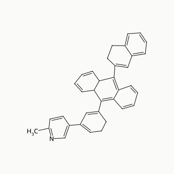 Cc1ccc(C2=CCCC(C3=c4ccccc4=C(C4=Cc5ccccc5CC4)C4C=CC=CC34)=C2)cn1